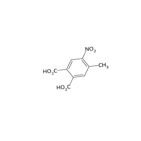 Cc1cc(C(=O)O)c(C(=O)O)cc1[N+](=O)[O-]